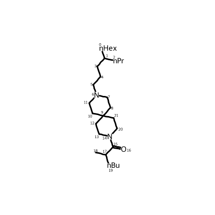 CCCCCCC(CCC)CCCN1CCC2(CC1)CCN(C(=O)C(C)CCCC)CC2